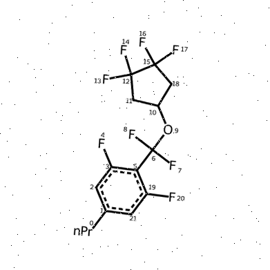 CCCc1cc(F)c(C(F)(F)OC2CC(F)(F)C(F)(F)C2)c(F)c1